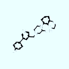 OC1CN(Cc2cncc(-c3ccc(F)cc3)c2)CCN1c1cccc2c1OCCO2